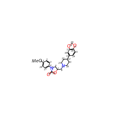 COc1ccc(N2CC(CN3CCC(c4ccc5c(c4)OCO5)CC3)OC2=O)cc1